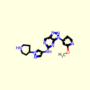 COc1cc(-n2nnc3cnc(Nc4cnn(C5CCNCC5)c4)nc32)ccn1